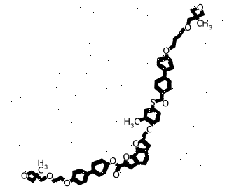 Cc1cc(SC(=O)c2ccc(-c3ccc(OCCCCOCC4(C)COC4)cc3)cc2)ccc1CCc1cc2ccc3cc(C(=O)Oc4ccc(-c5ccc(OCCOCC6(C)COC6)cc5)cc4)oc3c2o1